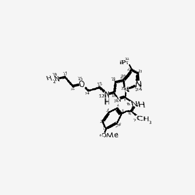 COc1cccc([C@H](C)Nc2nc(NCCOCCN)cc3c(C(C)C)cnn23)c1